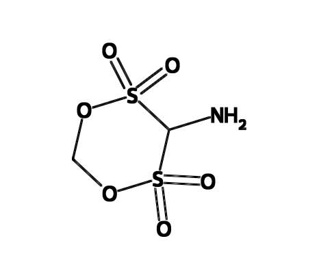 NC1S(=O)(=O)OCOS1(=O)=O